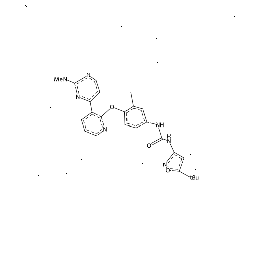 CNc1nccc(-c2cccnc2Oc2ccc(NC(=O)Nc3cc(C(C)(C)C)on3)cc2C)n1